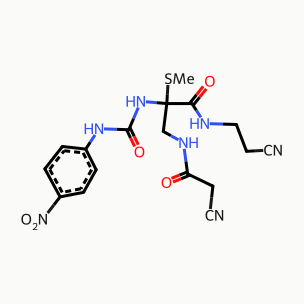 CSC(CNC(=O)CC#N)(NC(=O)Nc1ccc([N+](=O)[O-])cc1)C(=O)NCCC#N